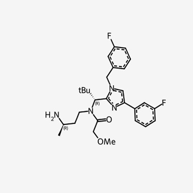 COCC(=O)N(CC[C@@H](C)N)[C@@H](c1nc(-c2cccc(F)c2)cn1Cc1cccc(F)c1)C(C)(C)C